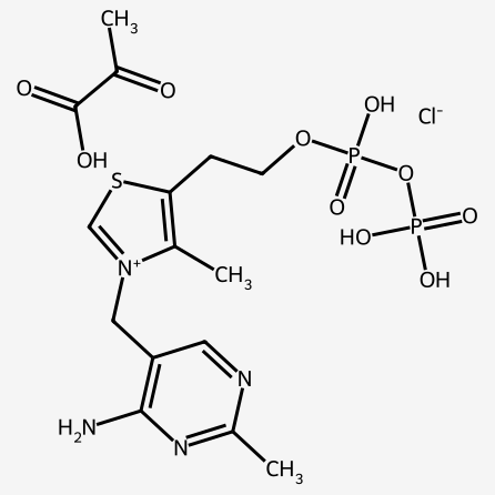 CC(=O)C(=O)O.Cc1ncc(C[n+]2csc(CCOP(=O)(O)OP(=O)(O)O)c2C)c(N)n1.[Cl-]